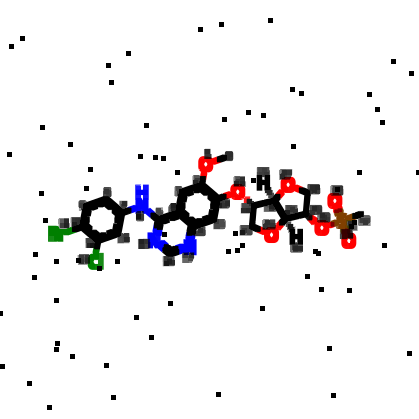 COc1cc2c(Nc3ccc(Br)c(Cl)c3)ncnc2cc1O[C@H]1CO[C@H]2[C@@H]1OC[C@H]2OS(C)(=O)=O